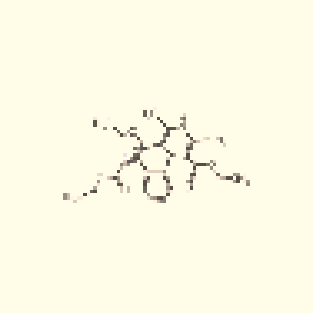 CCOC(=O)/C=C\c1ccccc1C1C(C(=O)OCC)=C(C)NC(C)=C1C(=O)OCC